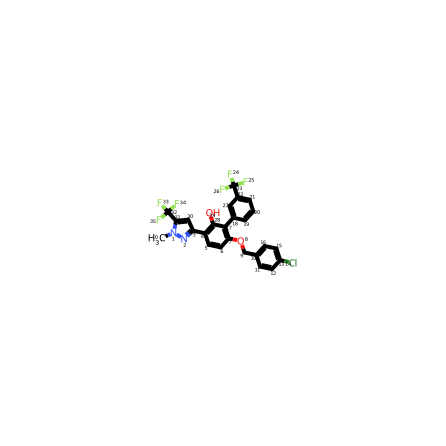 Cn1nc(-c2ccc(OCc3ccc(Cl)cc3)c(-c3cccc(C(F)(F)F)c3)c2O)cc1C(F)(F)F